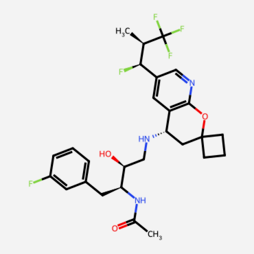 CC(=O)N[C@@H](Cc1cccc(F)c1)[C@@H](O)CN[C@H]1CC2(CCC2)Oc2ncc([C@@H](F)[C@@H](C)C(F)(F)F)cc21